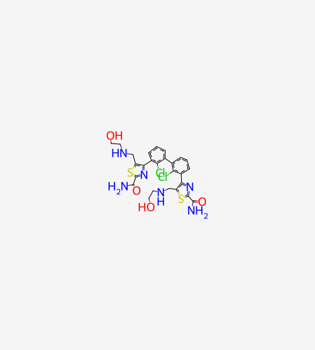 NC(=O)c1nc(-c2cccc(-c3cccc(-c4nc(C(N)=O)sc4CNCCO)c3Cl)c2Cl)c(CNCCO)s1